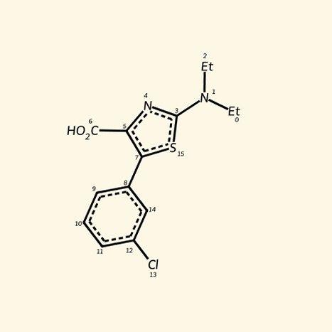 CCN(CC)c1nc(C(=O)O)c(-c2cccc(Cl)c2)s1